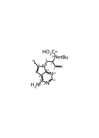 C=CC(Cn1c(I)cc2c(N)ncnc21)N(C(=O)O)C(C)(C)C